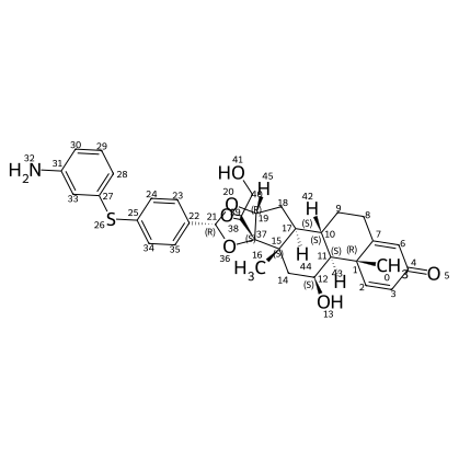 C[C@]12C=CC(=O)C=C1CC[C@@H]1[C@@H]2[C@@H](O)C[C@@]2(C)[C@H]1C[C@H]1O[C@@H](c3ccc(Sc4cccc(N)c4)cc3)O[C@]12C(=O)CO